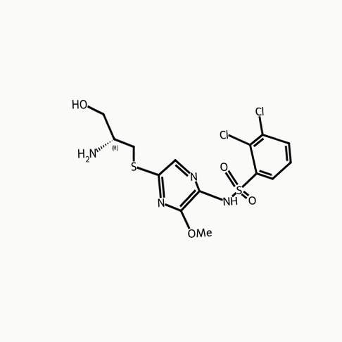 COc1nc(SC[C@H](N)CO)cnc1NS(=O)(=O)c1cccc(Cl)c1Cl